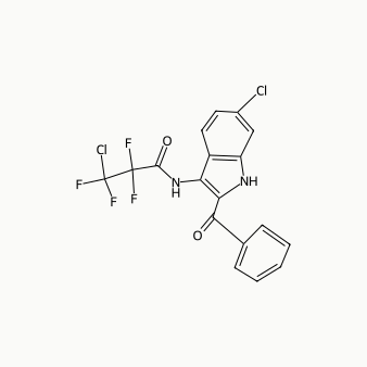 O=C(c1ccccc1)c1[nH]c2cc(Cl)ccc2c1NC(=O)C(F)(F)C(F)(F)Cl